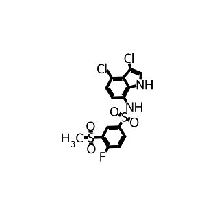 CS(=O)(=O)c1cc(S(=O)(=O)Nc2ccc(Cl)c3c(Cl)c[nH]c23)ccc1F